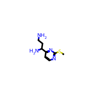 CSc1nccc(C(N)CCN)n1